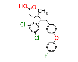 CC1=C(CC(=O)O)c2c(Cl)cc(Cl)cc2/C1=C\c1ccc(Oc2ccc(F)cc2)cc1